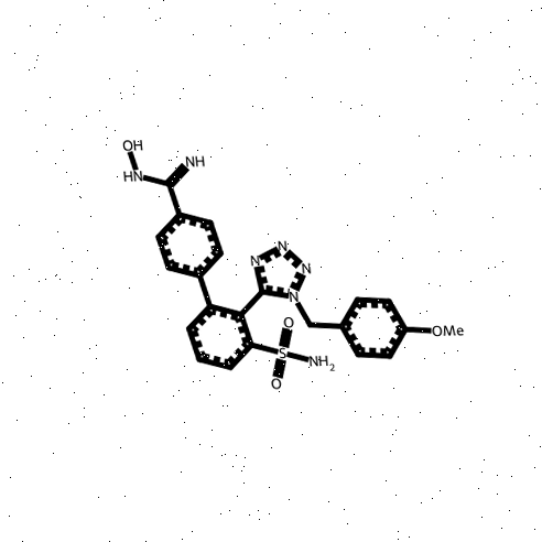 COc1ccc(Cn2nnnc2-c2c(-c3ccc(C(=N)NO)cc3)cccc2S(N)(=O)=O)cc1